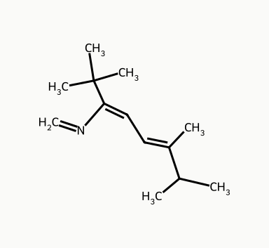 C=N/C(=C\C=C(/C)C(C)C)C(C)(C)C